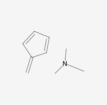 C=C1C=CC=C1.CN(C)C